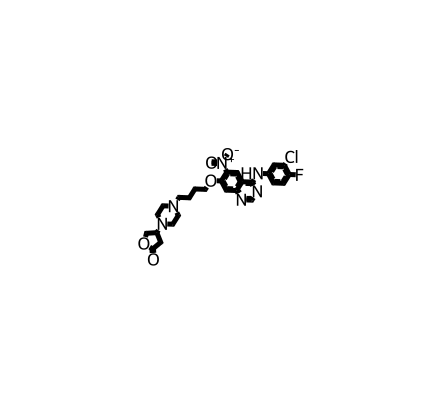 O=C1CC(N2CCN(CCCCOc3cc4ncnc(Nc5ccc(F)c(Cl)c5)c4cc3[N+](=O)[O-])CC2)CO1